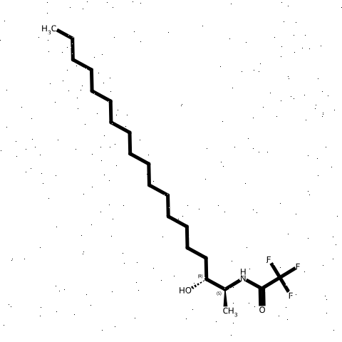 CCCCCCCCCCCCCCCC[C@@H](O)[C@H](C)NC(=O)C(F)(F)F